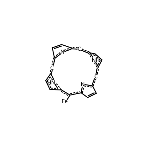 [Fe][c]1c2nc(cc3ccc(cc4nc(cc5ccc1[nH]5)C=C4)[nH]3)C=C2